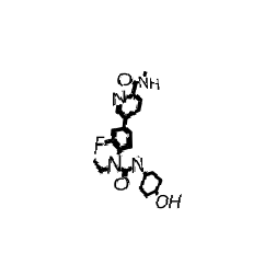 CCN(C(=O)N(C)C1CCC(O)CC1)c1ccc(-c2ccc(C(=O)NC)nc2)cc1F